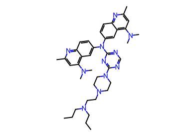 CCCN(CCC)CCN1CCN(c2ncnc(N(c3ccc4nc(C)cc(N(C)C)c4c3)c3ccc4nc(C)cc(N(C)C)c4c3)n2)CC1